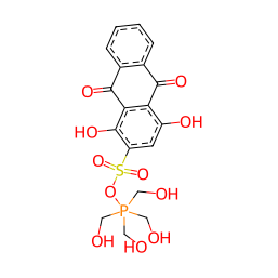 O=C1c2ccccc2C(=O)c2c(O)c(S(=O)(=O)OP(CO)(CO)(CO)CO)cc(O)c21